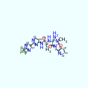 CC(Nc1c(N)n(C)c(=O)n(Cc2ccccn2)c1=O)C(=O)Nc1ccnc(-c2cnc(C(F)(F)F)nc2)n1